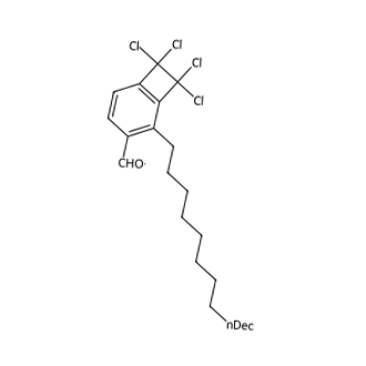 CCCCCCCCCCCCCCCCCCc1c([C]=O)ccc2c1C(Cl)(Cl)C2(Cl)Cl